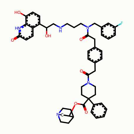 O=C(Cc1ccc(CC(=O)N(CCCNCC(O)c2ccc(O)c3[nH]c(=O)ccc23)Cc2cccc(F)c2)cc1)N1CCC(C(=O)OC2CN3CCC2CC3)(c2ccccc2)CC1